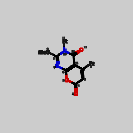 CCc1cc(=O)oc2nc(OC)n(CC)c(=O)c12